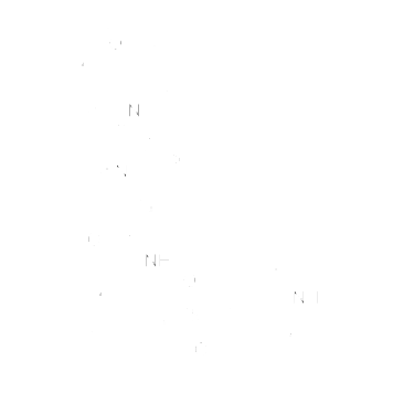 O=C(Nc1ccccc1S(=O)(=O)C1CCNCC1)c1csc(N2CCOCC2)n1